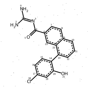 NC(N)=NC(=O)c1ccc2cccc(-c3ccc(Cl)cc3O)c2c1